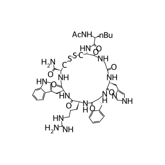 CCCC[C@H](NC(C)=O)C(=O)N[C@H]1CSSC[C@H](C(N)=O)NC(=O)[C@H](Cc2c[nH]c3ccccc23)NC(=O)[C@H](CCCNC(=N)N)NC(=O)[C@@H](Cc2ccccc2)NC(=O)[C@H](Cc2c[nH]cn2)NC(=O)CNC1=O